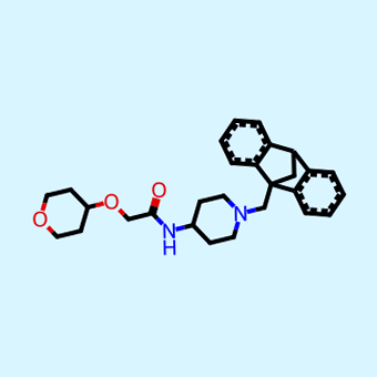 O=C(COC1CCOCC1)NC1CCN(CC23CC(c4ccccc42)c2ccccc23)CC1